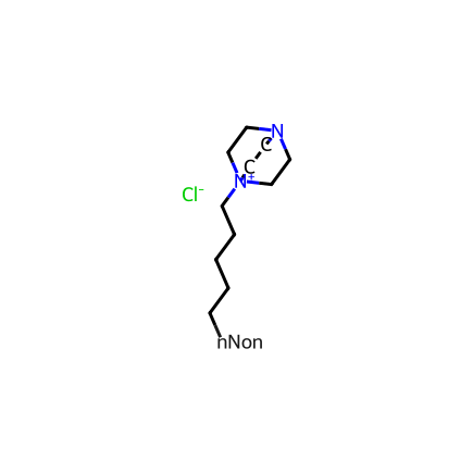 CCCCCCCCCCCCCC[N+]12CCN(CC1)CC2.[Cl-]